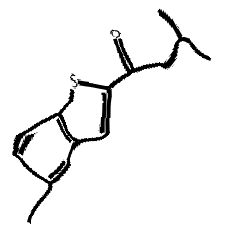 Cc1ccc2sc(C(=O)CC(C)C)cc2c1